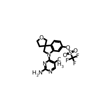 Cc1cnc(N)nc1N1CC2(CCOC2)c2ccc(OS(=O)(=O)C(F)(F)F)cc21